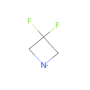 FC1(F)C[N]C1